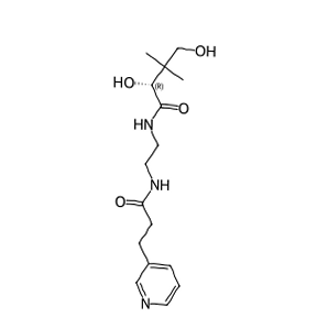 CC(C)(CO)[C@@H](O)C(=O)NCCNC(=O)CCc1cccnc1